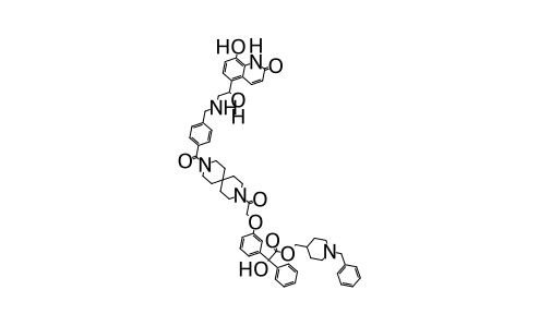 O=C(COc1cccc(C(O)(C(=O)OCC2CCN(Cc3ccccc3)CC2)c2ccccc2)c1)N1CCC2(CC1)CCN(C(=O)c1ccc(CNCC(O)c3ccc(O)c4[nH]c(=O)ccc34)cc1)CC2